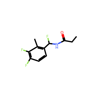 CCC(=O)NC(F)c1ccc(F)c(F)c1C